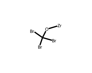 BrC(Br)(Br)[O][Zr]